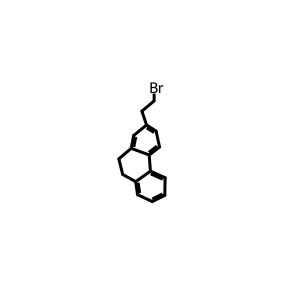 BrCCc1ccc2c(c1)CCc1ccccc1-2